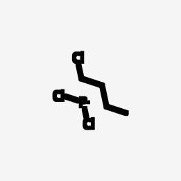 CCCCCl.Cl[P]Cl